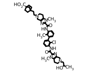 Cc1c(NC(=O)c2nc3c(n2C)CCN(CCC24CCC(C(=O)O)(CC2)C4)C3)cccc1-c1cccc(NC(=O)c2nc3c(n2C)CCN(CC(C)O)C3)c1Cl